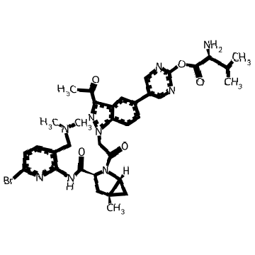 CC(=O)c1nn(CC(=O)N2[C@H](C(=O)Nc3nc(Br)ccc3CN(C)C)C[C@@]3(C)C[C@@H]23)c2ccc(-c3cnc(OC(=O)[C@@H](N)C(C)C)nc3)cc12